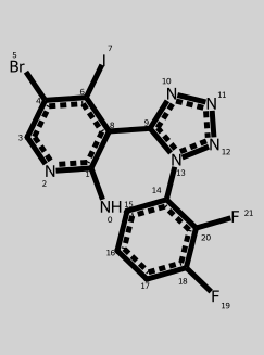 Nc1ncc(Br)c(I)c1-c1nnnn1-c1cccc(F)c1F